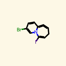 BrC1=CN2C(=C=CCC=C2I)C=C1